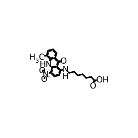 Cc1cccc2c(=O)c3c(NCCCCCCC(=O)O)ccc([N+](=O)[O-])c3[nH]c12